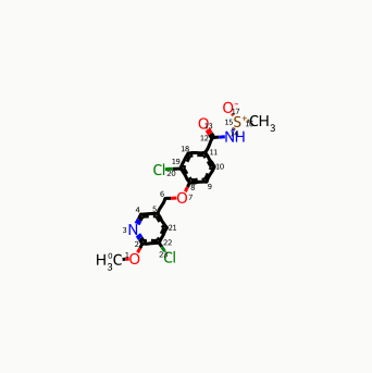 COc1ncc(COc2ccc(C(=O)N[S+](C)[O-])cc2Cl)cc1Cl